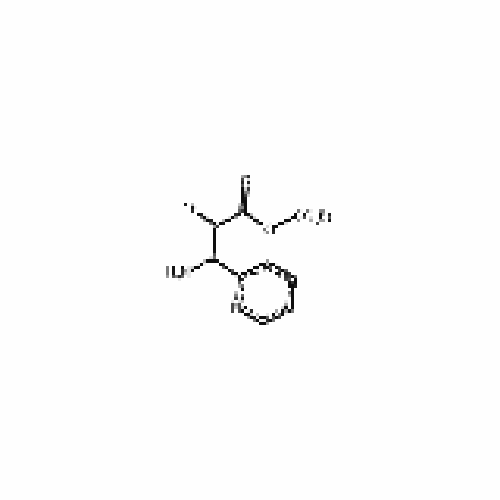 CCOC(=O)OC(=O)C(CC)C(N)c1ccccn1